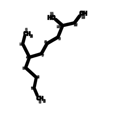 CCCCC(CC)CCCC(O)CO